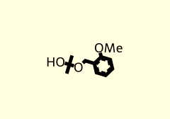 COc1ccccc1COC(C)(C)O